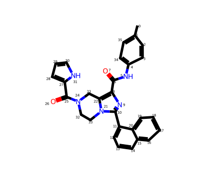 Cc1ccc(NC(=O)c2nc(-c3cccc4ccccc34)n3c2CN(C(=O)c2ccc[nH]2)CC3)cc1